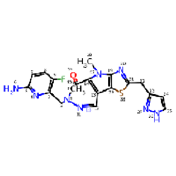 CN(Cc1nc(N)ccc1F)/N=C\c1c(C=O)n(C)c2nc(Cc3cc[nH]n3)sc12